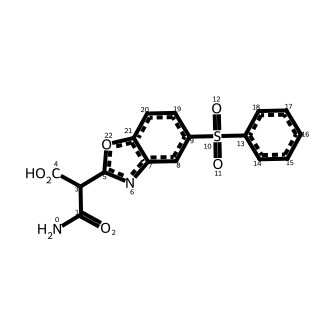 NC(=O)C(C(=O)O)c1nc2cc(S(=O)(=O)c3ccccc3)ccc2o1